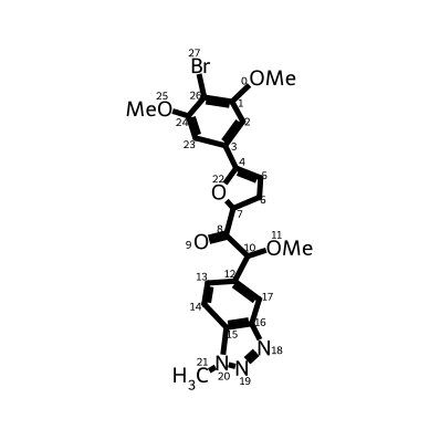 COc1cc(C2=CCC(C(=O)C(OC)c3ccc4c(c3)nnn4C)O2)cc(OC)c1Br